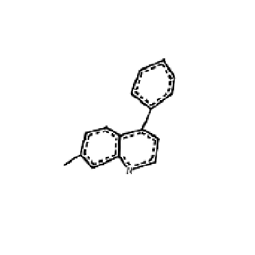 Cc1ccc2c(-c3ccccc3)ccnc2c1